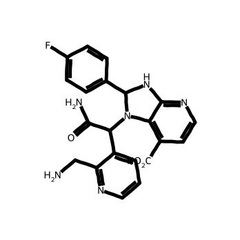 NCc1ncccc1C(C(N)=O)N1c2c(C(=O)O)ccnc2NC1c1ccc(F)cc1